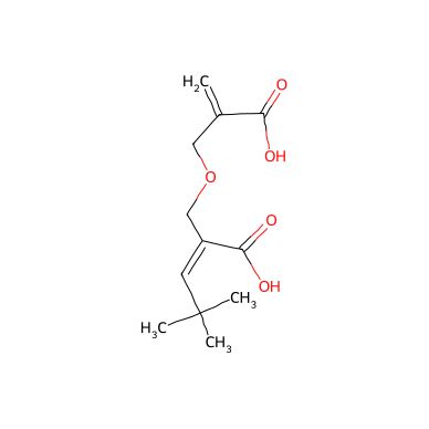 C=C(COCC(=CC(C)(C)C)C(=O)O)C(=O)O